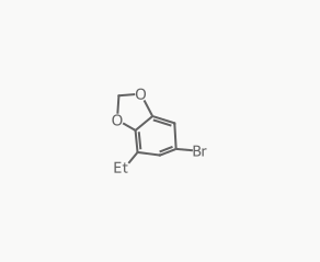 CCc1cc(Br)cc2c1OCO2